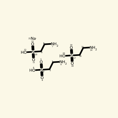 NCCS(=O)(=O)O.NCCS(=O)(=O)O.NCCS(=O)(=O)O.[Na]